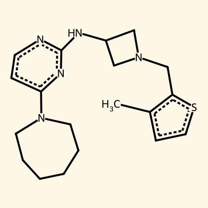 Cc1ccsc1CN1CC(Nc2nccc(N3CCCCCC3)n2)C1